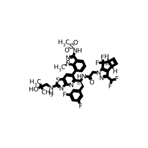 Cn1nc(NS(C)(=O)=O)c2cccc(-c3cc4sc(NCC(C)(C)O)nc4nc3[C@H](Cc3cc(F)cc(F)c3)NC(=O)Cn3nc(C(F)F)c4c3C(F)(F)[C@@H]3C=C[C@H]43)c21